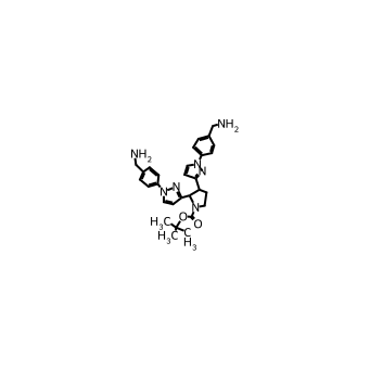 CC(C)(C)OC(=O)N1CCC(c2ccn(-c3ccc(CN)cc3)n2)C1c1ccn(-c2ccc(CN)cc2)n1